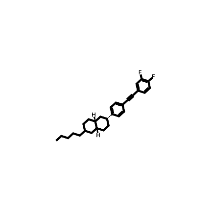 CCCCCC1CC[C@@H]2C[C@H](c3ccc(C#Cc4ccc(F)c(F)c4)cc3)CC[C@@H]2C1